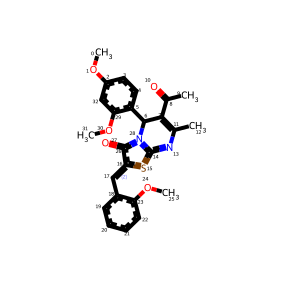 COc1ccc(C2C(C(C)=O)=C(C)N=c3s/c(=C\c4ccccc4OC)c(=O)n32)c(OC)c1